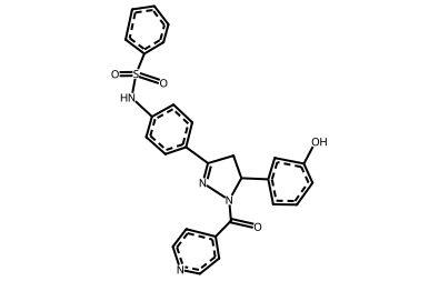 O=C(c1ccncc1)N1N=C(c2ccc(NS(=O)(=O)c3ccccc3)cc2)CC1c1cccc(O)c1